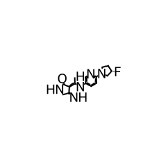 C/C(Nc1ccc(N2CC[C@H](F)C2)nc1)=C1/C(=N)CNC1=O